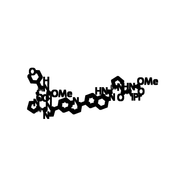 COC(=O)N[C@H](C(=O)N1CCC[C@H]1c1nc2c([nH]1)-c1ccc(-c3ccc4cc(-c5cnc([C@@H]6CCCN6OC[C@@H](NC(=O)OC)C6CCOCC6)[nH]5)ccc4n3)cc1CC2)C(C)C